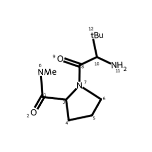 CNC(=O)C1CCCN1C(=O)C(N)C(C)(C)C